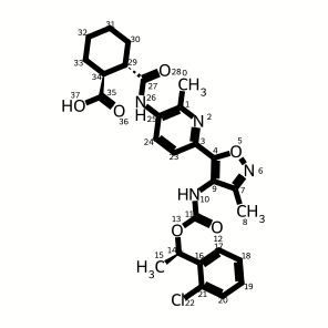 Cc1nc(-c2onc(C)c2NC(=O)O[C@H](C)c2ccccc2Cl)ccc1NC(=O)[C@H]1CCCC[C@@H]1C(=O)O